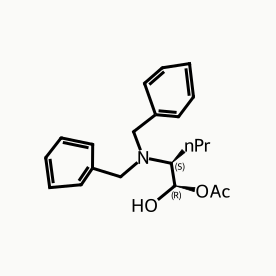 CCC[C@@H]([C@H](O)OC(C)=O)N(Cc1ccccc1)Cc1ccccc1